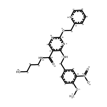 COc1ccc(CNc2nc(OCc3ccccn3)ncc2C(=O)NCCCO)cc1[N+](=O)[O-]